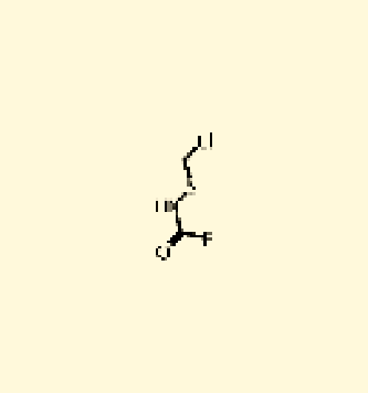 O=C(F)NSCCl